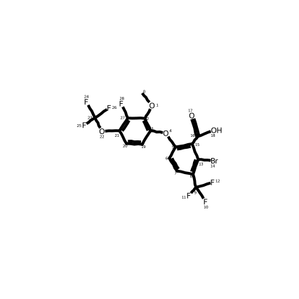 COc1c(Oc2ccc(C(F)(F)F)c(Br)c2C(=O)O)ccc(OC(F)(F)F)c1F